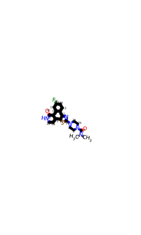 CN(C)C(=O)N1CCN(c2nc3c4ccc(F)cc4c4c(=O)[nH]ccc4c3s2)CC1